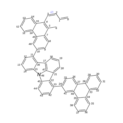 C=C/C=C\c1c(C)c2ccc(-c3cccc4c3c3cccc5c6c(-c7ccc8c9ccccc9c9ccccc9c8c7)cccc6n4c35)cc2c2ccccc12